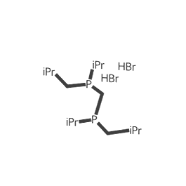 Br.Br.CC(C)CP(CP(CC(C)C)C(C)C)C(C)C